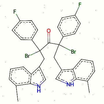 Cc1cccc2c(CC(Br)(C(=O)C(Br)(Cc3c[nH]c4c(C)cccc34)c3ccc(F)cc3)c3ccc(F)cc3)c[nH]c12